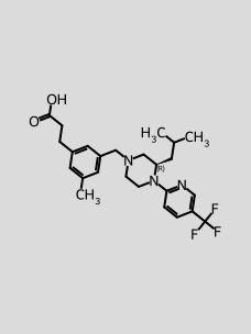 Cc1cc(CCC(=O)O)cc(CN2CCN(c3ccc(C(F)(F)F)cn3)[C@H](CC(C)C)C2)c1